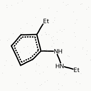 CCNNc1ccccc1CC